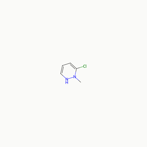 CN1NC=CC=C1Cl